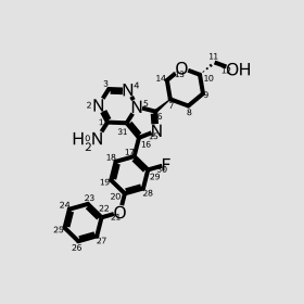 Nc1ncnn2c([C@@H]3CC[C@@H](CO)OC3)nc(-c3ccc(Oc4ccccc4)cc3F)c12